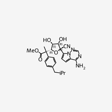 COC(=O)C(C)(c1ccc(CC(C)C)cc1)[C@H]1O[C@@](C#N)(c2ccc3c(N)ncnn23)[C@H](O)[C@@H]1O